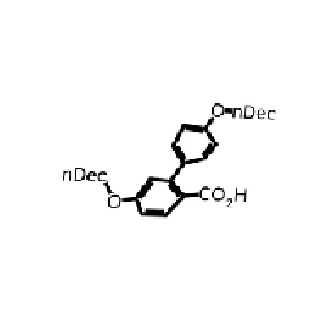 CCCCCCCCCCOc1ccc(-c2cc(OCCCCCCCCCC)ccc2C(=O)O)cc1